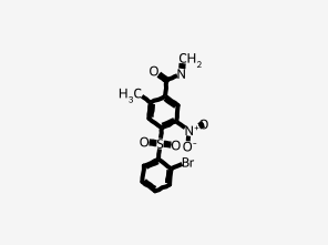 C=NC(=O)c1cc([N+](=O)[O-])c(S(=O)(=O)c2ccccc2Br)cc1C